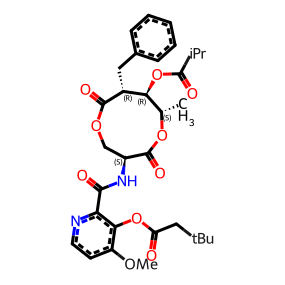 COc1ccnc(C(=O)N[C@H]2COC(=O)[C@H](Cc3ccccc3)[C@@H](OC(=O)C(C)C)[C@H](C)OC2=O)c1OC(=O)CC(C)(C)C